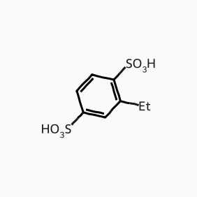 CCc1cc(S(=O)(=O)O)ccc1S(=O)(=O)O